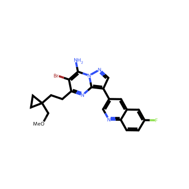 COCC1(CCc2nc3c(-c4cnc5ccc(F)cc5c4)cnn3c(N)c2Br)CC1